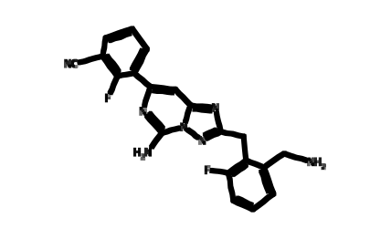 N#Cc1cccc(-c2cc3nc(Cc4c(F)cccc4CN)nn3c(N)n2)c1F